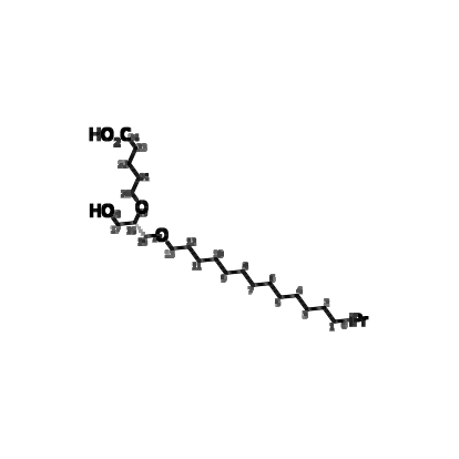 CC(C)CCCCCCCCCCCCCOC[C@H](CO)OCCCCC(=O)O